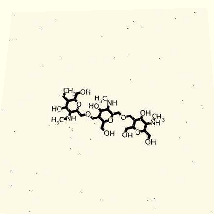 CCC1C(CO)OC(COCC2C(CO)OC(COCC3C(CO)OC(CO)C(NC)C3O)C(NC)C2O)C(NC)C1O